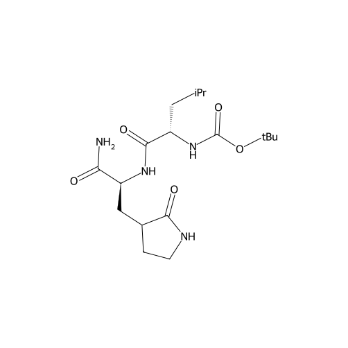 CC(C)C[C@H](NC(=O)OC(C)(C)C)C(=O)N[C@@H](CC1CCNC1=O)C(N)=O